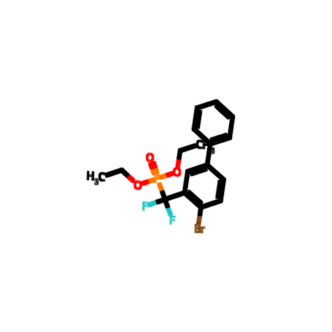 CCOP(=O)(OCC)C(F)(F)c1cc(-c2ccccc2)ccc1Br